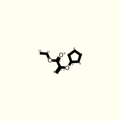 C=C(OC1CCCC1)C(=O)OCC